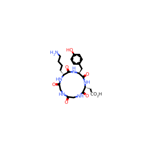 NCCCC[C@H]1NC(=O)CNC(=O)CNC(=O)[C@@H](CC(=O)O)NC(=O)[C@H](Cc2ccc(O)cc2)NC1=O